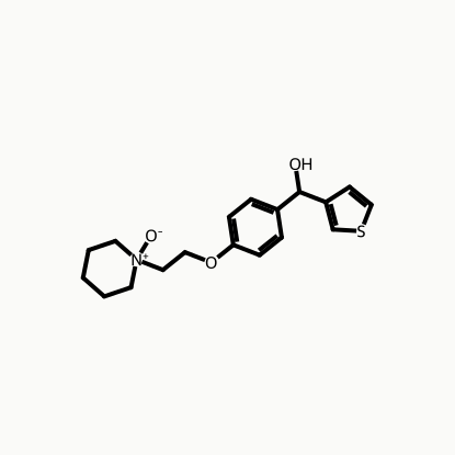 [O-][N+]1(CCOc2ccc(C(O)c3ccsc3)cc2)CCCCC1